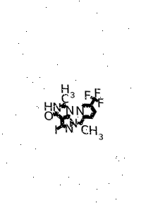 Cc1nc2c(c(I)nn2C(C)c2ccc(C(F)(F)F)cn2)c(=O)[nH]1